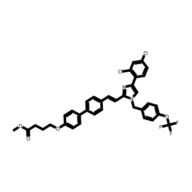 COC(=O)CCCOc1ccc(-c2ccc(C=Cc3nc(-c4ccc(Cl)cc4Cl)cn3Cc3ccc(OC(F)(F)F)cc3)cc2)cc1